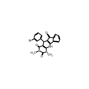 Cn1c2c(c(=O)n(C)c1=O)C(c1cccc(Br)c1)C1=C(N2)c2ccccc2C1=O